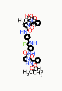 CC(C)(C)OC(=O)N[C@@H](C(=O)N1CCC[C@H]1C(=O)Nc1ccc2[nH]c(-c3ccc(NC(=O)[C@@H]4CCCN4C(=O)[C@@H](c4ccccc4)N(C(=O)O)C(C)(C)C)cc3)c(F)c2c1)c1ccccc1